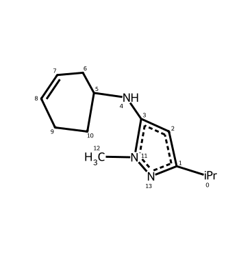 CC(C)c1cc(NC2CC=CCC2)n(C)n1